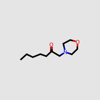 CCCCCC(=O)CN1CCOCC1